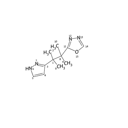 CC(C)(c1cc[nH]n1)C(C)(C)c1nnco1